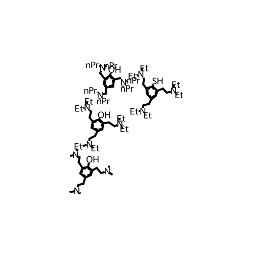 CCCN(CCC)Cc1cc(CN(CCC)CCC)c(O)c(CN(CCC)CCC)c1.CCN(CC)CCc1cc(CCN(CC)CC)c(O)c(CCN(CC)CC)c1.CCN(CC)CCc1cc(CCN(CC)CC)c(S)c(CCN(CC)CC)c1.CN(C)CCc1cc(CCN(C)C)c(O)c(CCN(C)C)c1